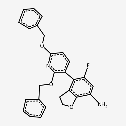 Nc1cc(F)c(-c2ccc(OCc3ccccc3)nc2OCc2ccccc2)c2c1OCC2